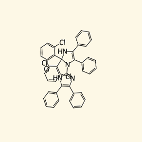 Clc1cccc(Cl)c1C1(c2c(Cl)cccc2Cl)NC(c2ccccc2)=C(c2ccccc2)N1c1nc(-c2ccccc2)c(-c2ccccc2)[nH]1